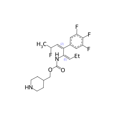 CC/C=C(NC(=O)OCC1CCNCC1)\C(=C/C(C)F)c1cc(F)c(F)c(F)c1